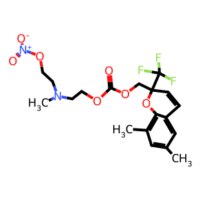 Cc1cc(C)c2c(c1)C=CC(COC(=O)OCCN(C)CCO[N+](=O)[O-])(C(F)(F)F)O2